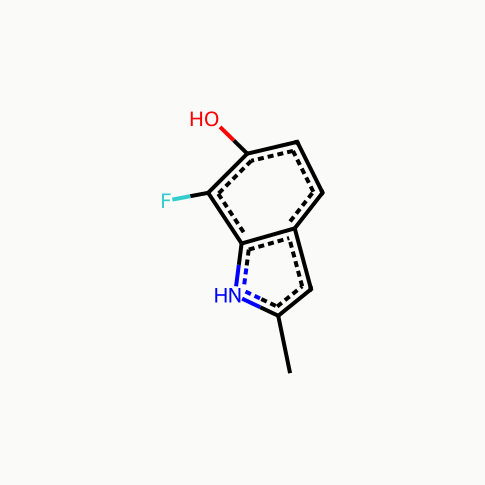 Cc1cc2ccc(O)c(F)c2[nH]1